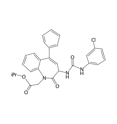 CC(C)OC(=O)CN1C(=O)C(NC(=O)Nc2cccc(Cl)c2)C=C(c2ccccc2)c2ccccc21